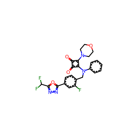 O=c1c(N2CCOCC2)c(N(Cc2ccc(-c3nnc(C(F)F)o3)cc2F)c2ccccc2)c1=O